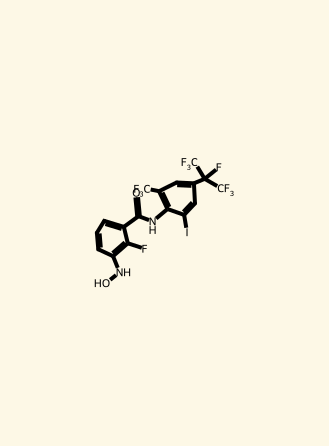 O=C(Nc1c(I)cc(C(F)(C(F)(F)F)C(F)(F)F)cc1C(F)(F)F)c1cccc(NO)c1F